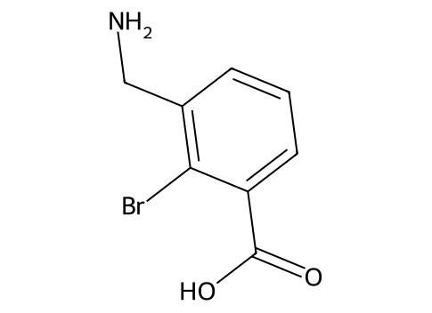 NCc1cccc(C(=O)O)c1Br